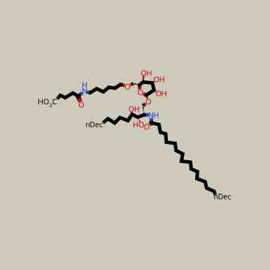 CCCCCCCCCCCCCCCCCCCCCCCCCC(=O)N[C@@H](CO[C@H]1O[C@H](COCCCCCCNC(=O)CCCC(=O)O)[C@@H](O)[C@H](O)[C@H]1O)[C@H](O)[C@H](O)CCCCCCCCCCCCCC